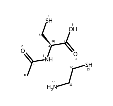 CC(=O)N[C@@H](CS)C(=O)O.NCCS